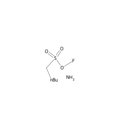 CCCCCS(=O)(=O)OF.N